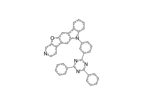 c1ccc(-c2nc(-c3ccccc3)nc(-c3cccc(-n4c5ccccc5c5cc6oc7cnccc7c6cc54)c3)n2)cc1